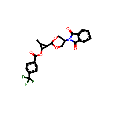 CC1C(OC(=O)c2ccc(C(F)(F)F)cc2)C1C1OCC(N2C(=O)c3ccccc3C2=O)CO1